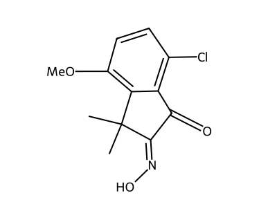 COc1ccc(Cl)c2c1C(C)(C)C(=NO)C2=O